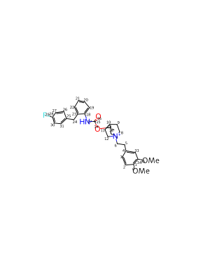 COc1ccc(CC[N+]23CCC(CC2)C(OC(=O)Nc2ccccc2Cc2ccc(F)cc2)C3)cc1OC